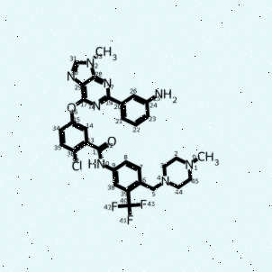 CN1CCN(Cc2ccc(NC(=O)c3cc(Oc4nc(-c5cccc(N)c5)nc5c4ncn5C)ccc3Cl)cc2C(F)(F)F)CC1